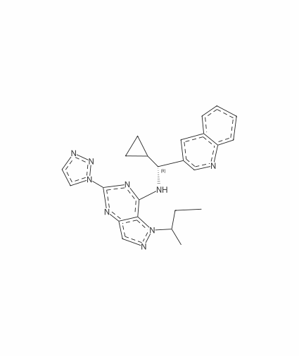 CCC(C)n1ncc2nc(-n3ccnn3)nc(N[C@@H](c3cnc4ccccc4c3)C3CC3)c21